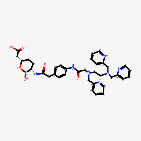 O=C(O)C[C@@H]1CC[C@H](NC(=O)Cc2ccc(NC(=O)CN(CCN(Cc3ccccn3)Cc3ccccn3)Cc3ccccn3)cc2)B(O)O1